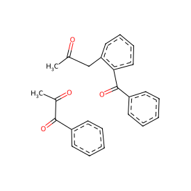 CC(=O)C(=O)c1ccccc1.CC(=O)Cc1ccccc1C(=O)c1ccccc1